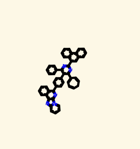 C1=CCC=CC(c2nc(-c3cc4ccccc4c4ccccc34)nc(-c3ccccc3)c2-c2ccc(-c3nc4c(nc5ccccn54)c4ccccc34)cc2)=C1